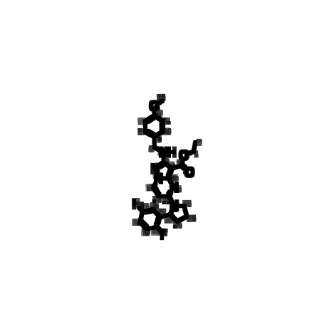 CCOC(=O)c1c(NCc2ccc(OC)cc2)nn2ccc(N3CCCC3c3cc(F)ccc3F)nc12